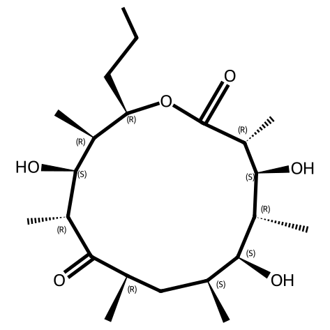 CCC[C@H]1OC(=O)[C@H](C)[C@@H](O)[C@H](C)[C@@H](O)[C@@H](C)C[C@@H](C)C(=O)[C@H](C)[C@@H](O)[C@H]1C